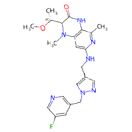 CO[C@H](C)C1C(=O)Nc2c(cc(NCc3cnn(Cc4cncc(F)c4)c3)nc2C)N1C